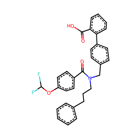 O=C(O)c1ccccc1-c1ccc(CN(CCCc2ccccc2)C(=O)c2ccc(OC(F)F)cc2)cc1